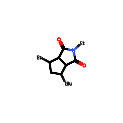 CCC1CC(C(C)(C)C)C2C(=O)N(CC)C(=O)C12